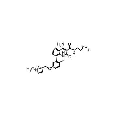 CCCNC(=O)c1c(N)c2cccc(-c3cc(OCc4ccn(C)n4)ccc3F)c2[nH]c1=O